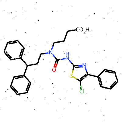 O=C(O)CCCN(CCC(c1ccccc1)c1ccccc1)C(=O)Nc1nc(-c2ccccc2)c(Cl)s1